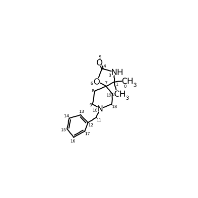 CC1(C)NC(=O)OC12CCN(Cc1ccccc1)CC2